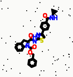 O=C(NC1CC1)c1ccc(-c2csc(NC(=O)C3Cc4ccccc4N3C(=O)OCc3ccccc3)n2)cc1